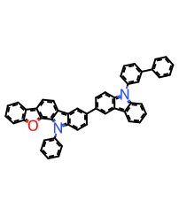 c1ccc(-c2cccc(-n3c4ccccc4c4cc(-c5ccc6c(c5)c5ccc7c8ccccc8oc7c5n6-c5ccccc5)ccc43)c2)cc1